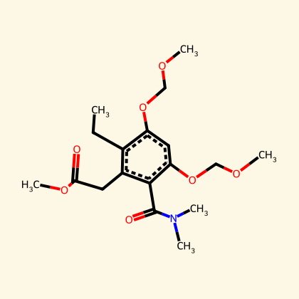 CCc1c(OCOC)cc(OCOC)c(C(=O)N(C)C)c1CC(=O)OC